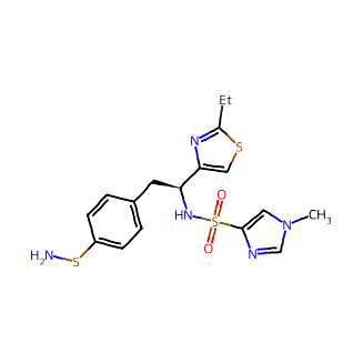 CCc1nc([C@H](Cc2ccc(SN)cc2)NS(=O)(=O)c2cn(C)cn2)cs1